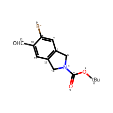 CC(C)(C)OC(=O)N1Cc2cc(Br)c(C=O)cc2C1